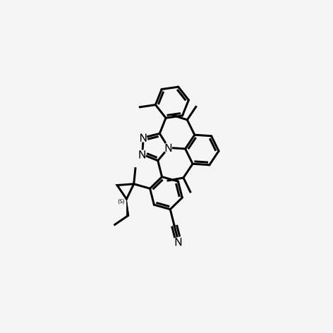 CC[C@H]1CC1(C)c1cc(C#N)ccc1-c1nnc(-c2ccccc2C)n1-c1c(C(C)C)cccc1C(C)C